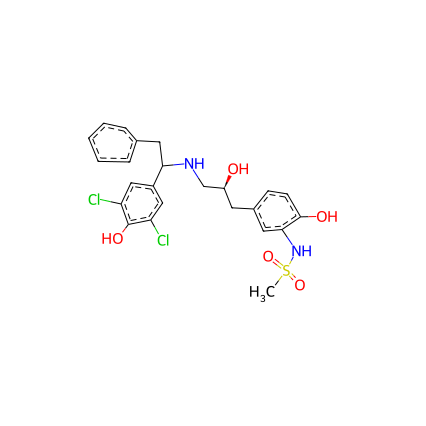 CS(=O)(=O)Nc1cc(C[C@H](O)CNC(Cc2ccccc2)c2cc(Cl)c(O)c(Cl)c2)ccc1O